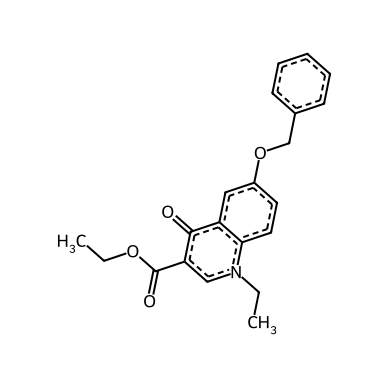 CCOC(=O)c1cn(CC)c2ccc(OCc3ccccc3)cc2c1=O